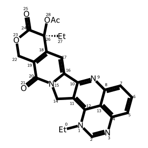 CCN1C=Nc2cccc3nc4c(c1c23)Cn1c-4cc2c(c1=O)COC(=O)[C@@]2(CC)OC(C)=O